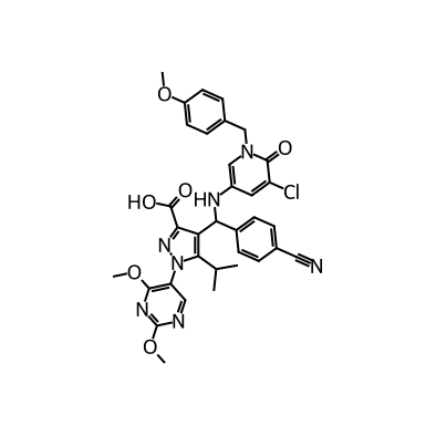 COc1ccc(Cn2cc(NC(c3ccc(C#N)cc3)c3c(C(=O)O)nn(-c4cnc(OC)nc4OC)c3C(C)C)cc(Cl)c2=O)cc1